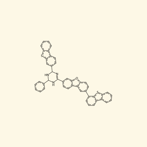 c1ccc(C2NC(c3ccc4c(c3)oc3ccc(-c5cccc6c5sc5ccccc56)cc34)=NC(c3ccc4c(c3)sc3ccccc34)N2)cc1